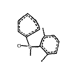 Cc1cccc(C)c1[Si](C)(Cl)c1ccccc1